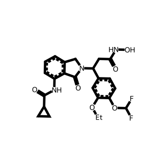 CCOc1cc(C(CC(=O)NO)N2Cc3cccc(NC(=O)C4CC4)c3C2=O)ccc1OC(F)F